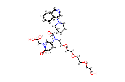 O=C(O)Cn1cc(N(CCOCCOCCOCCO)C(=O)[C@H]2CCCN(c3cncc4ccccc34)C2)ccc1=O